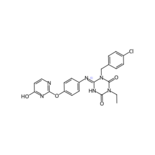 CCn1c(=O)[nH]/c(=N\c2ccc(Oc3nccc(O)n3)cc2)n(Cc2ccc(Cl)cc2)c1=O